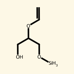 C=COC(CO)CO[SiH3]